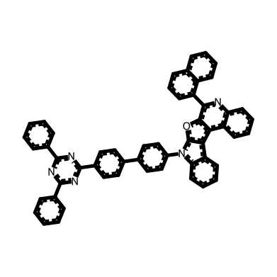 c1ccc(-c2nc(-c3ccccc3)nc(-c3ccc(-c4ccc(-n5c6ccccc6c6c7c(oc65)c(-c5cccc6ccccc56)nc5ccccc57)cc4)cc3)n2)cc1